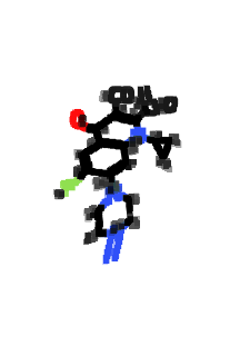 O=Cc1c(C(=O)O)c(=O)c2cc(F)c(N3CCNCC3)cc2n1C1CC1